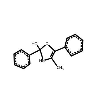 CC1=C(c2ccccc2)OC(O)(c2ccccc2)N1